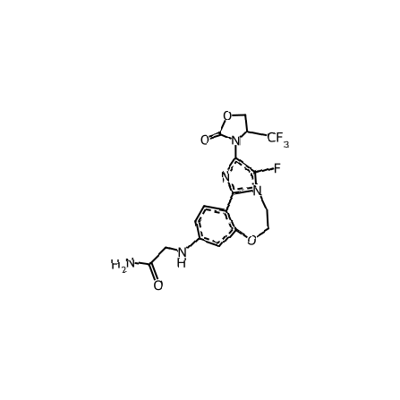 NC(=O)CNc1ccc2c(c1)OCCn1c-2nc(N2C(=O)OCC2C(F)(F)F)c1F